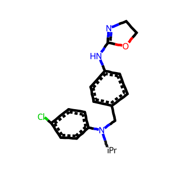 CC(C)N(Cc1ccc(NC2=NCCO2)cc1)c1ccc(Cl)cc1